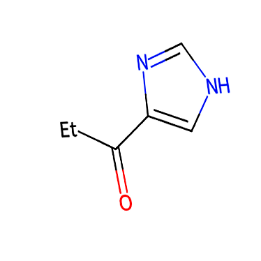 [CH2]CC(=O)c1c[nH]cn1